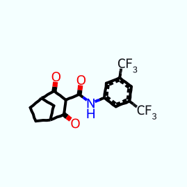 O=C(Nc1cc(C(F)(F)F)cc(C(F)(F)F)c1)C1C(=O)C2CCC(C2)C1=O